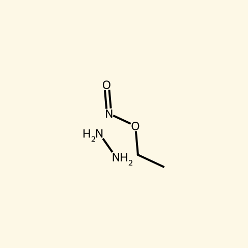 CCON=O.NN